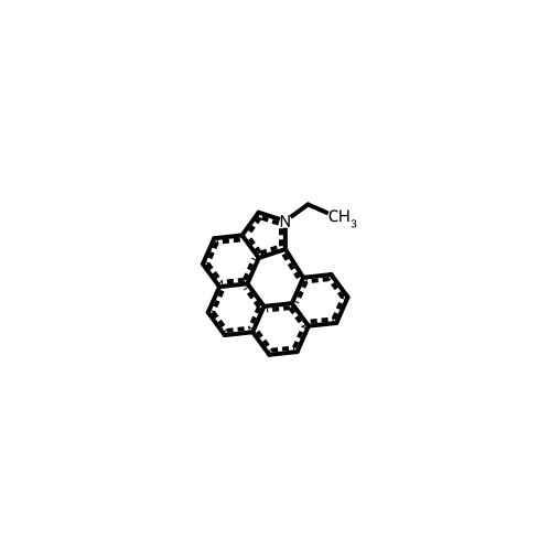 CCn1cc2ccc3ccc4ccc5cccc6c5c4c3c2c61